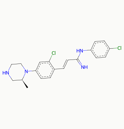 C[C@H]1CNCCN1c1ccc(/C=C/C(=N)Nc2ccc(Cl)cc2)c(Cl)c1